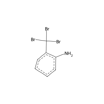 Nc1ccccc1C(Br)(Br)Br